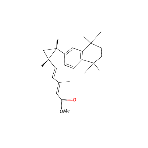 COC(=O)/C=C(C)/C=C/[C@]1(C)C[C@]1(C)c1ccc2c(c1)C(C)(C)CCC2(C)C